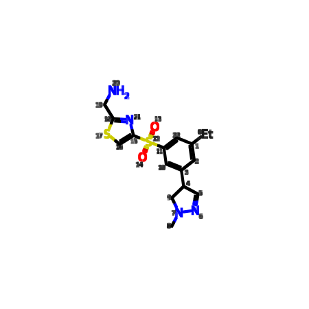 CCc1cc(C2C=NN(C)C2)cc(S(=O)(=O)c2csc(CN)n2)c1